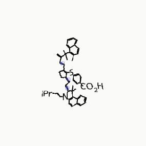 C=C(/C=C/C1=C(Sc2ccc(C(=O)O)cc2)C(=C/C=C2/N(CCC(C)C)c3ccc4ccccc4c3C2(C)C)/CC1)C(C)(C)c1c(C)ccc2ccccc12